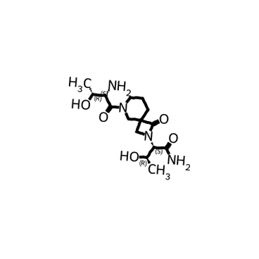 C[C@@H](O)[C@H](N)C(=O)N1CCCC2(C1)CN([C@H](C(N)=O)[C@@H](C)O)C2=O